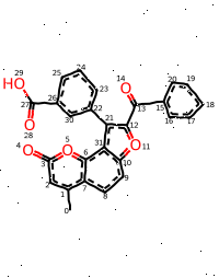 Cc1cc(=O)oc2c1ccc1oc(C(=O)c3ccccc3)c(-c3cccc(C(=O)O)c3)c12